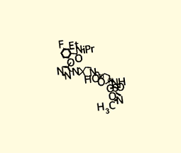 CCN(C(=O)c1cc(F)ccc1Oc1cncnc1N1CC2(CCN(C[C@@]3(O)CC[C@@H](NS(=O)(=O)c4cnc(C)o4)CO3)CC2)C1)C(C)C